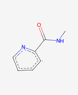 CNC(=O)c1[c]cccn1